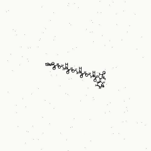 CN1C(=O)C[C@H](C(=O)NCCOCC(=O)NCCOCC(=O)NCCOCC(=O)OC(C)(C)C)[C@H]1c1cccnc1